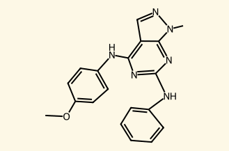 COc1ccc(Nc2nc(Nc3ccccc3)nc3c2cnn3C)cc1